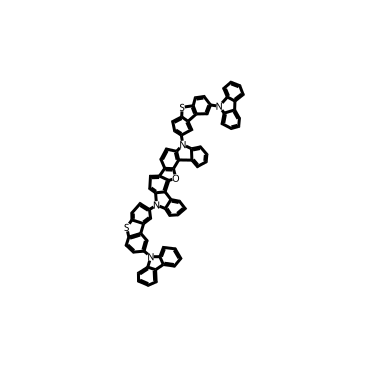 c1ccc2c(c1)c1ccccc1n2-c1ccc2sc3ccc(-n4c5ccccc5c5c6oc7c(ccc8c7c7ccccc7n8-c7ccc8sc9ccc(-n%10c%11ccccc%11c%11ccccc%11%10)cc9c8c7)c6ccc54)cc3c2c1